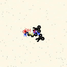 CCCCC1(CCCC)c2ccccc2-c2ccc(N(c3ccc4c(c3)C(CCCC)(CCCC)c3ccccc3-4)c3ccc(-c4ccc(-c5ccc(/C=C(\C#N)C(=O)O)s5)s4)c4nonc34)cc21